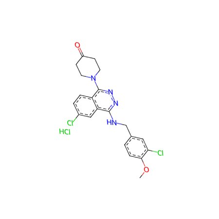 COc1ccc(CNc2nnc(N3CCC(=O)CC3)c3ccc(Cl)cc23)cc1Cl.Cl